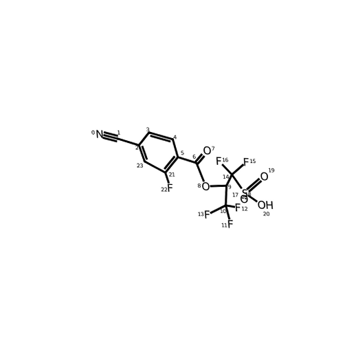 N#Cc1ccc(C(=O)OC(C(F)(F)F)C(F)(F)S(=O)(=O)O)c(F)c1